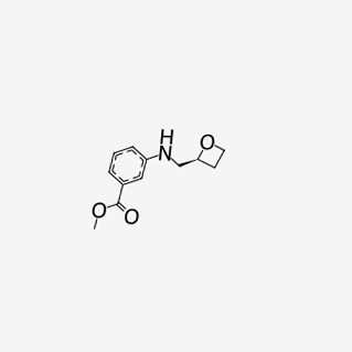 COC(=O)c1cccc(NC[C@@H]2CCO2)c1